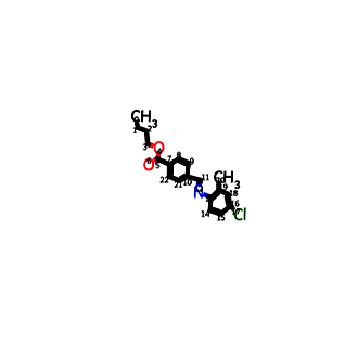 CCCCOC(=O)c1ccc(C=Nc2ccc(Cl)cc2C)cc1